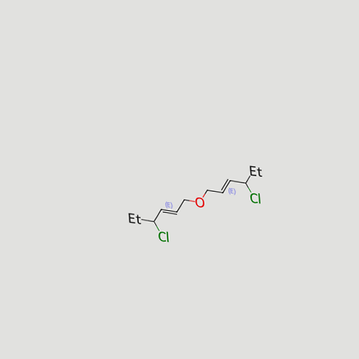 CCC(Cl)/C=C/COC/C=C/C(Cl)CC